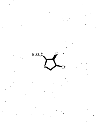 CCOC(=O)C1SCC(CC)C1=O